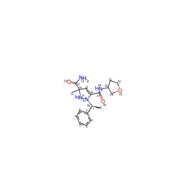 C[C@@H](c1ccccc1)N1NC(C)(C(N)=O)C=C1C(=O)NC1CCOC1